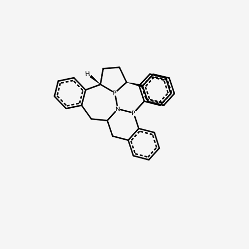 c1ccc([C@@H]2CC[C@H]3c4ccccc4CC4Cc5ccccc5P(c5ccccc5)N4P23)cc1